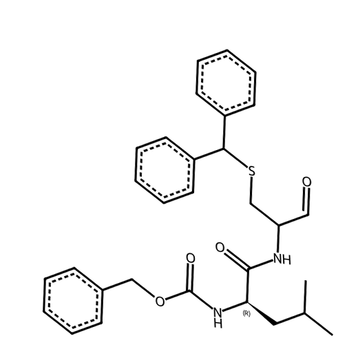 CC(C)C[C@@H](NC(=O)OCc1ccccc1)C(=O)NC(C=O)CSC(c1ccccc1)c1ccccc1